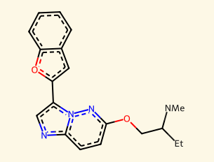 CCC(COc1ccc2ncc(-c3cc4ccccc4o3)n2n1)NC